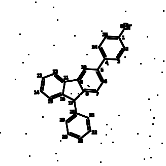 Brc1ccc(-c2ccc3c(c2)-c2ccccc2C3c2ccccc2)cc1